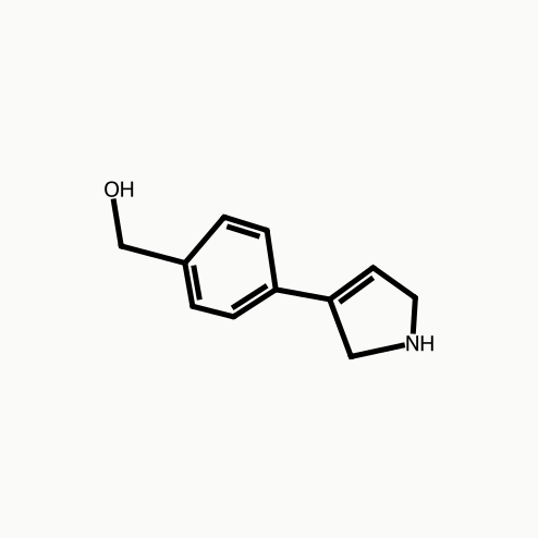 OCc1ccc(C2=CCNC2)cc1